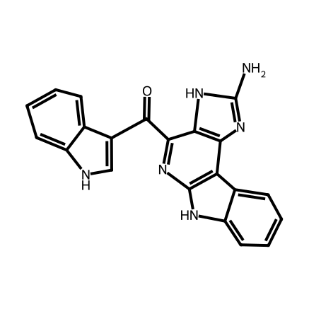 Nc1nc2c([nH]1)c(C(=O)c1c[nH]c3ccccc13)nc1[nH]c3ccccc3c12